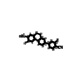 CCCCc1cc2c(cc1F)-c1ccc(-c3ccc(C#N)c(F)c3)cc1CC2